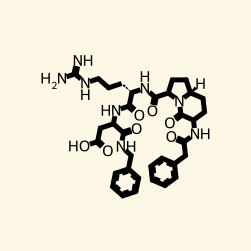 N=C(N)NCCC[C@H](NC(=O)C1CC[C@@H]2CCC(NC(=O)Cc3ccccc3)C(=O)N12)C(=O)NC(CC(=O)O)C(=O)NCc1ccccc1